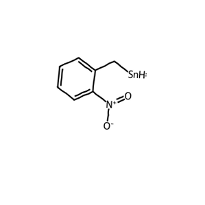 O=[N+]([O-])c1ccccc1[CH2][SnH]